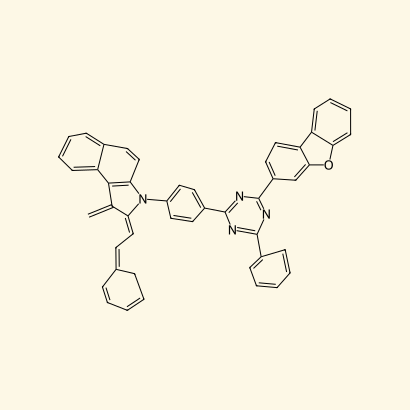 C=c1/c(=C\C=C2\C=CC=CC2)n(-c2ccc(-c3nc(-c4ccccc4)nc(-c4ccc5c(c4)oc4ccccc45)n3)cc2)c2ccc3ccccc3c12